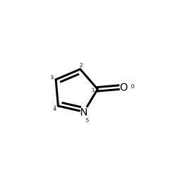 O=C1C=C[C]=N1